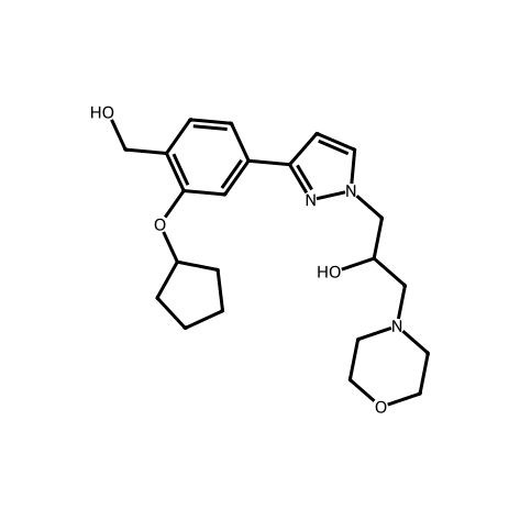 OCc1ccc(-c2ccn(CC(O)CN3CCOCC3)n2)cc1OC1CCCC1